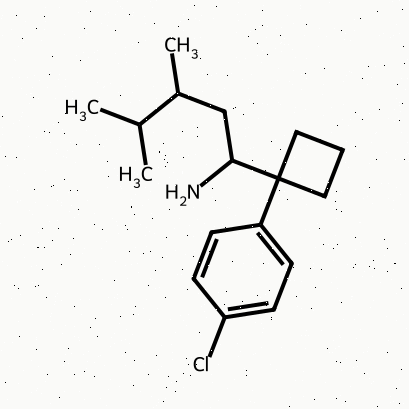 CC(C)C(C)CC(N)C1(c2ccc(Cl)cc2)CCC1